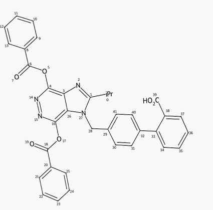 CC(C)c1nc2c(OC(=O)c3ccccc3)nnc(OC(=O)c3ccccc3)c2n1Cc1ccc(-c2ccccc2C(=O)O)cc1